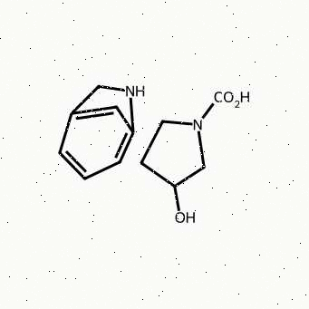 O=C(O)N1CCC(O)C1.c1cc2cc(c1)NC2